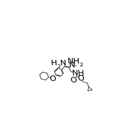 CN(N)/C(CNC(=O)OCCC1CC1)=C(\N)c1ccc(OC2CCCCC2)cc1